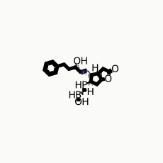 O=C1C[C@H]2C(C[C@@H](PPBO)[C@@H]2/C=C/[C@@H](O)CCc2ccccc2)O1